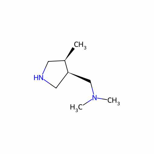 C[C@@H]1CNC[C@@H]1CN(C)C